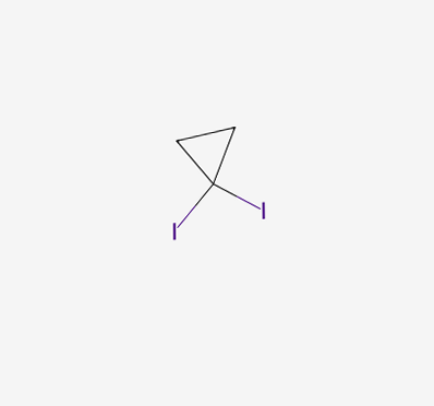 IC1(I)CC1